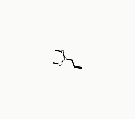 C=C[CH2][Ti]([O]C)[O]C